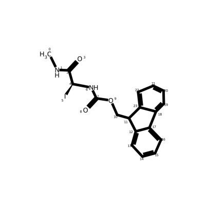 CNC(=O)[C@H](I)NC(=O)OCC1c2ccccc2-c2ccccc21